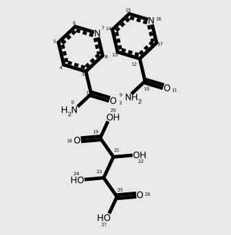 NC(=O)c1cccnc1.NC(=O)c1cccnc1.O=C(O)C(O)C(O)C(=O)O